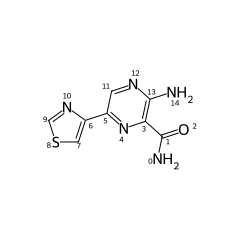 NC(=O)c1nc(-c2cscn2)cnc1N